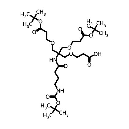 CC(C)(C)OC(=O)CCOCC(COCCC(=O)O)(COCCC(=O)OC(C)(C)C)NC(=O)CCCNC(=O)OC(C)(C)C